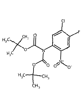 CC(C)(C)OC(=O)N(C(=O)OC(C)(C)C)c1cc(Cl)c(F)cc1[N+](=O)[O-]